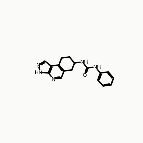 O=C(Nc1ccccc1)NC1CCc2c(cnc3[nH]ncc23)C1